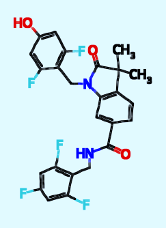 CC1(C)C(=O)N(Cc2c(F)cc(O)cc2F)c2cc(C(=O)NCc3c(F)cc(F)cc3F)ccc21